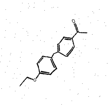 CCOc1ccc(-c2ccc(C(C)=O)cc2)cc1